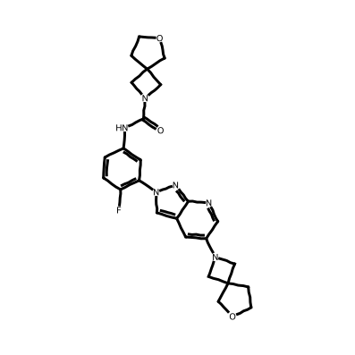 O=C(Nc1ccc(F)c(-n2cc3cc(N4CC5(CCOC5)C4)cnc3n2)c1)N1CC2(CCOC2)C1